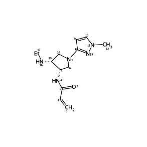 C=CC(=O)N[C@H]1CN(c2ccn(C)n2)C[C@H]1NCC